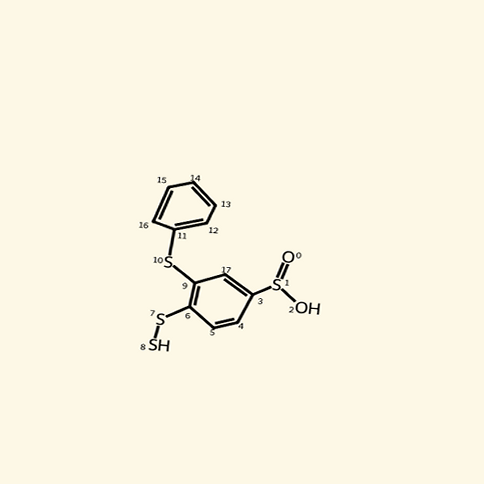 O=S(O)c1ccc(SS)c(Sc2ccccc2)c1